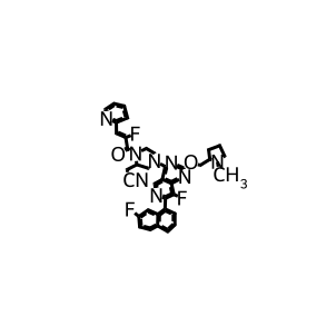 CN1CCCC1COc1nc(N2CCN(C(=O)/C(F)=C/c3ccccn3)C(CC#N)C2)c2cnc(-c3cccc4ccc(F)cc34)c(F)c2n1